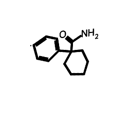 NC(=O)C1(c2cc[c]cc2)CCCCC1